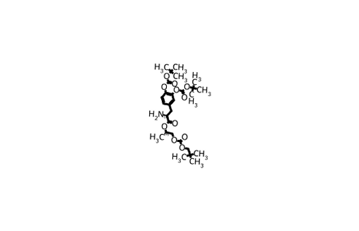 C[C@@H](COC(=O)OCC(C)(C)C)OC(=O)[C@@H](N)Cc1ccc(OC(=O)OC(C)(C)C)c(OC(=O)OC(C)(C)C)c1